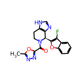 Cc1nnc(C(=O)N2CCc3[nH]cnc3[C@H]2c2oc3ccccc3c2F)o1